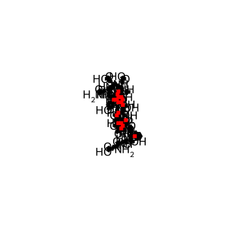 CC(C)C[C@H](NC(=O)[C@H](Cc1ccc(O)cc1)NC(=O)[C@H](CO)NC(=O)[C@H](CO)NC(=O)[C@@H](NC(=O)[C@H](CC(=O)O)NC(=O)[C@H](CO)NC(=O)[C@@H](NC(=O)[C@H](Cc1ccccc1)NC(=O)[C@@H](NC(=O)CNC(=O)[C@@H](N)CCC(=O)O)[C@@H](C)O)[C@@H](C)O)C(C)C)C(=O)N[C@@H](CCC(=O)O)C(=O)N[C@@H](CCC(=O)O)C(=O)N[C@@H](CCC(N)=O)C(=O)N[C@@H](C)C(=O)N[C@@H](C)C(=O)N[C@@H](CCCCN)C(=O)O